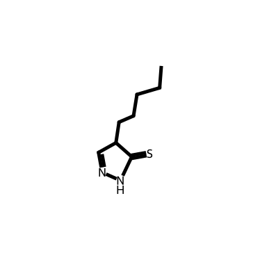 CCCCCC1C=NNC1=S